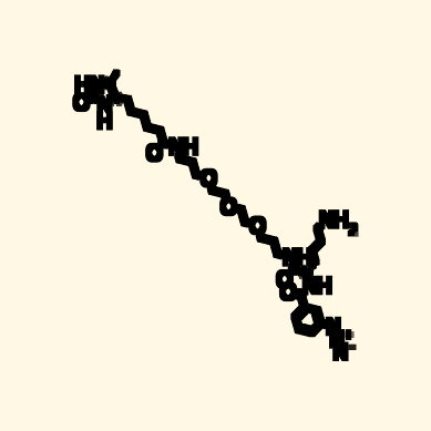 C[C@@H]1NC(=O)N[C@@H]1CCCCCC(=O)NCCCOCCOCCOCCCNC(=O)[C@H](CCCCN)NC(=O)c1cccc(N=[N+]=[N-])c1